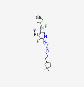 CC/C=C\C(=C(\F)C(C)CC(C)(C)C)c1cnc(N2CC(=NCCCC3CCC(C)(C)C3)C2)c(F)c1